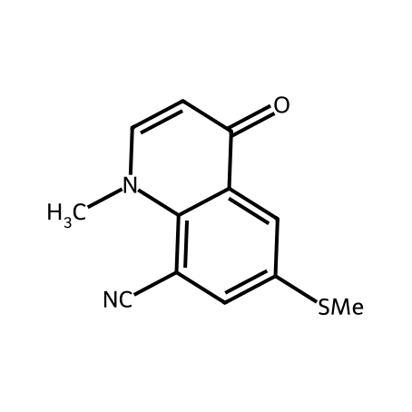 CSc1cc(C#N)c2c(c1)c(=O)ccn2C